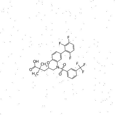 CC(C)(CC1CN(S(=O)(=O)c2cccc(C(F)(F)F)c2)c2cc(-c3c(F)ccc(F)c3F)ccc2O1)C(=O)O